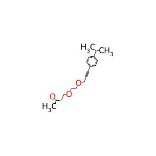 CC(=O)CCOCCOCC#Cc1ccc(C(C)C)cc1